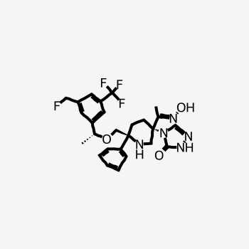 C/C(=N\O)[C@]1(n2cn[nH]c2=O)CC[C@@](CO[C@H](C)c2cc(CF)cc(C(F)(F)F)c2)(c2ccccc2)NC1